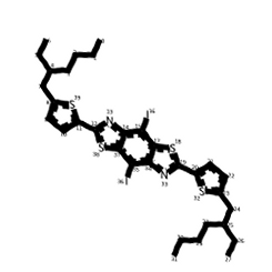 CCCCC(CC)Cc1ccc(-c2nc3c(I)c4sc(-c5ccc(CC(CC)CCCC)s5)nc4c(I)c3s2)s1